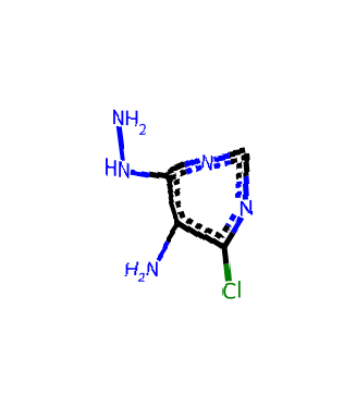 NNc1ncnc(Cl)c1N